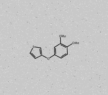 COc1ccc(Oc2c[c]sc2)cc1OC